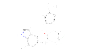 Cc1cc(C)c2[nH]ccc2c1O[C@@H]1CCC(F)(F)C[C@H]1c1ccc(C(=O)O)cc1